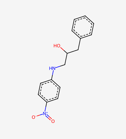 O=[N+]([O-])c1ccc(NCC(O)Cc2ccccc2)cc1